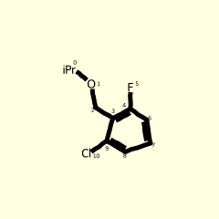 CC(C)OCc1c(F)cccc1Cl